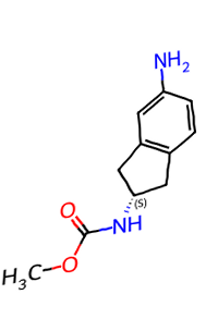 COC(=O)N[C@H]1Cc2ccc(N)cc2C1